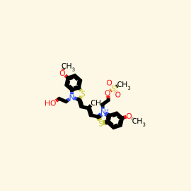 COc1ccc2c(c1)N(CCO)/C(=C/C(C)=C/c1sc3ccc(OC)cc3[n+]1CCOS(C)(=O)=O)S2